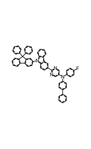 Fc1ccc(N(c2ccc(-c3ccccc3)cc2)c2cnc(-c3ccc4c(c3)c3ccccc3n4-c3ccc4c(c3)C(c3ccccc3)(c3ccccc3)c3ccccc3-4)nc2)cc1